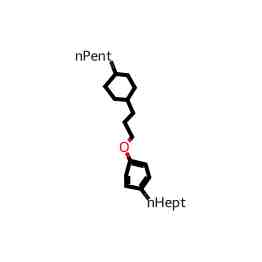 CCCCCCCc1ccc(OCCCC2CCC(CCCCC)CC2)cc1